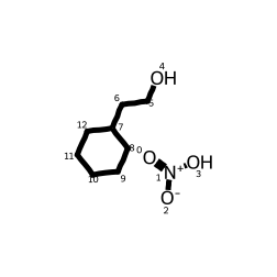 O=[N+]([O-])O.OCCC1CCCCC1